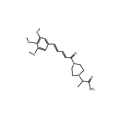 COc1cc(C=CC=CC(=O)N2CCN(C(C)C(N)=O)CC2)cc(OC)c1OC